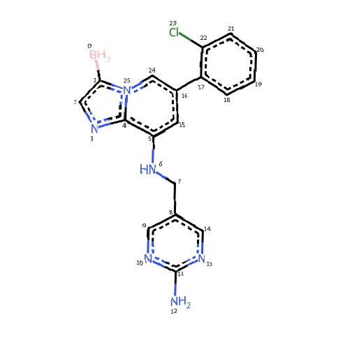 Bc1cnc2c(NCc3cnc(N)nc3)cc(-c3ccccc3Cl)cn12